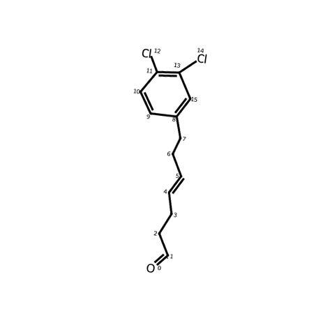 O=[C]CCC=CCCc1ccc(Cl)c(Cl)c1